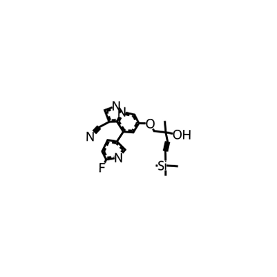 CC(O)(C#C[Si](C)(C)C)COc1cc(-c2ccc(F)nc2)c2c(C#N)cnn2c1